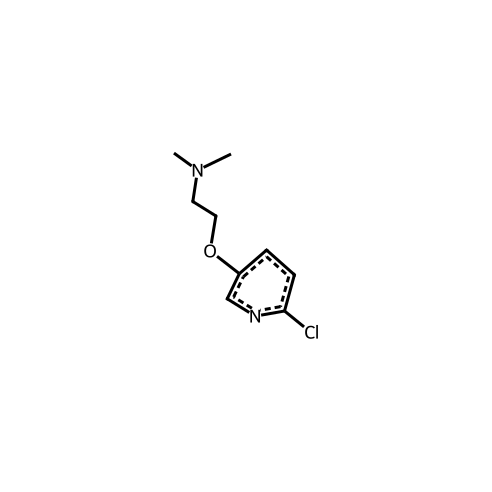 CN(C)CCOc1ccc(Cl)nc1